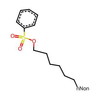 CCCCCCCCCCCCCCCOS(=O)(=O)c1ccccc1